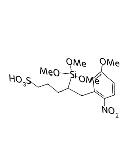 COc1ccc([N+](=O)[O-])c(CC(CCCS(=O)(=O)O)[Si](OC)(OC)OC)c1